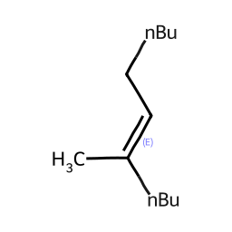 CCCCC/C=C(\C)CCCC